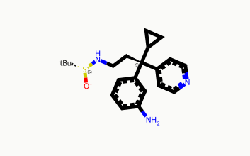 CC(C)(C)[S@@+]([O-])NCC[C@@](c1ccncc1)(c1cccc(N)c1)C1CC1